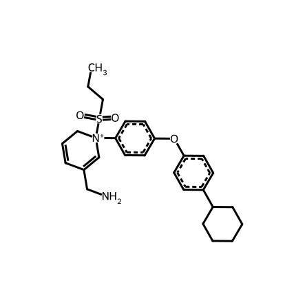 CCCS(=O)(=O)[N+]1(c2ccc(Oc3ccc(C4CCCCC4)cc3)cc2)C=C(CN)C=CC1